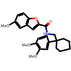 COc1ccc2oc(C(=O)NCC3(c4ccc(OC)c(OC)c4)CCCCC3)cc2c1